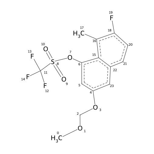 COCOc1cc(OS(=O)(=O)C(F)(F)F)c2c(C)c(F)ccc2c1